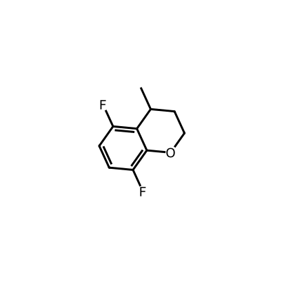 CC1CCOc2c(F)ccc(F)c21